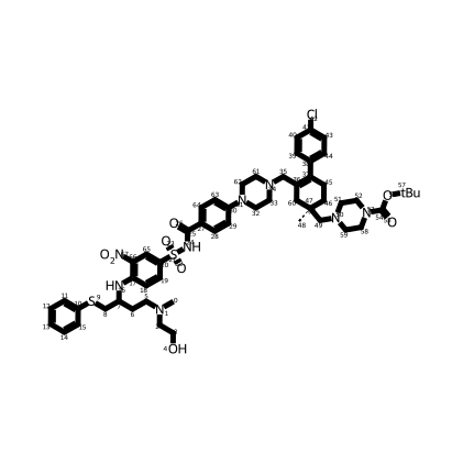 CN(CCO)CCC(CSc1ccccc1)Nc1ccc(S(=O)(=O)NC(=O)c2ccc(N3CCN(CC4=C(c5ccc(Cl)cc5)CC[C@@](C)(CN5CCN(C(=O)OC(C)(C)C)CC5)C4)CC3)cc2)cc1[N+](=O)[O-]